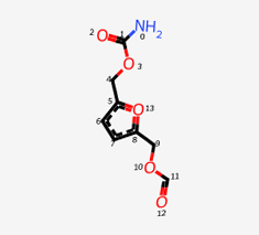 NC(=O)OCc1ccc(COC=O)o1